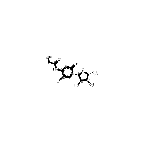 CCC(C)CC(=O)Nc1nc(=O)n([C@@H]2O[C@H](C)[C@@H](O)[C@H]2O)cc1F